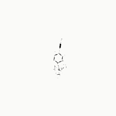 CC#Cc1ccc(N(C)S(C)(=O)=O)cc1